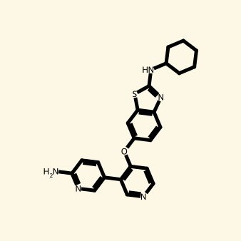 Nc1ccc(-c2cnccc2Oc2ccc3nc(NC4CCCCC4)sc3c2)cn1